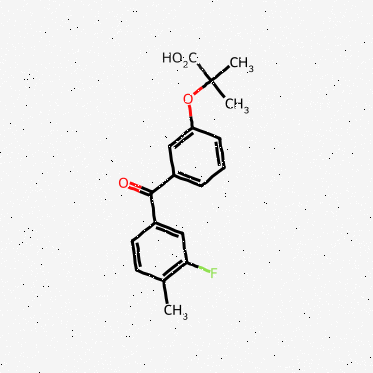 Cc1ccc(C(=O)c2cccc(OC(C)(C)C(=O)O)c2)cc1F